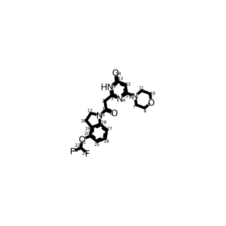 O=C(Cc1nc(N2CCOCC2)cc(=O)[nH]1)N1CCc2c(OC(F)F)cccc21